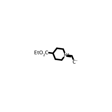 [CH2-]C=[N+]1CCC(C(=O)OCC)CC1